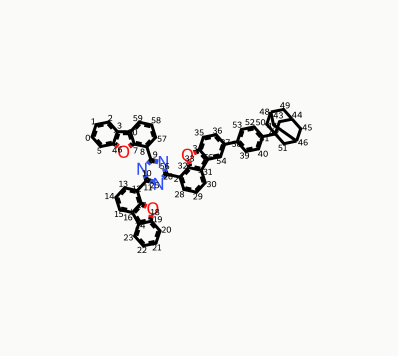 c1ccc2c(c1)oc1c(-c3nc(-c4cccc5c4oc4ccccc45)nc(-c4cccc5c4oc4ccc(-c6ccc(C78CC9CC(CC(C9)C7)C8)cc6)cc45)n3)cccc12